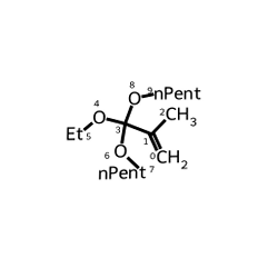 C=C(C)C(OCC)(OCCCCC)OCCCCC